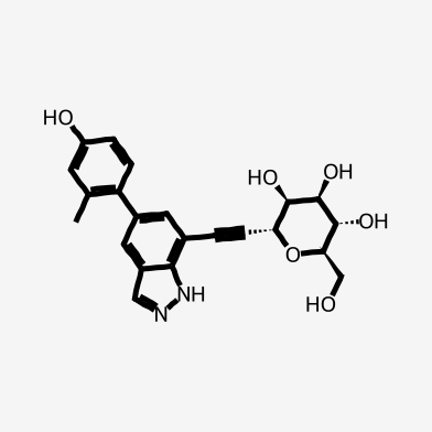 Cc1cc(O)ccc1-c1cc(C#C[C@H]2O[C@H](CO)[C@@H](O)[C@H](O)[C@@H]2O)c2[nH]ncc2c1